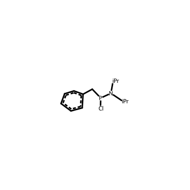 CC(C)N(C(C)C)P(Cl)Cc1ccccc1